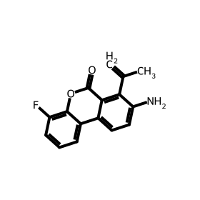 C=C(C)c1c(N)ccc2c1c(=O)oc1c(F)cccc12